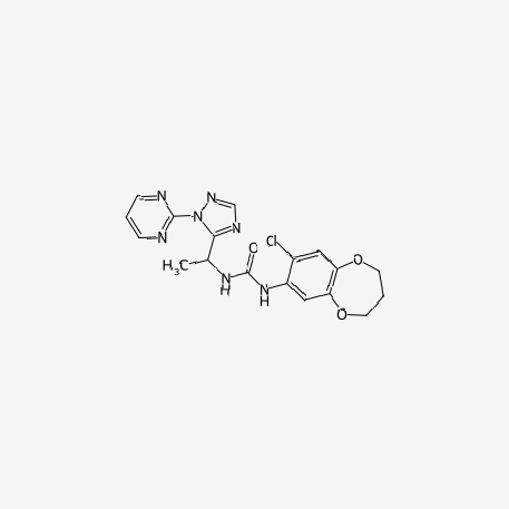 CC(NC(=O)Nc1cc2c(cc1Cl)OCCCO2)c1ncnn1-c1ncccn1